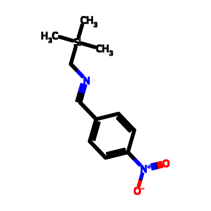 C[Si](C)(C)CN=Cc1ccc([N+](=O)[O-])cc1